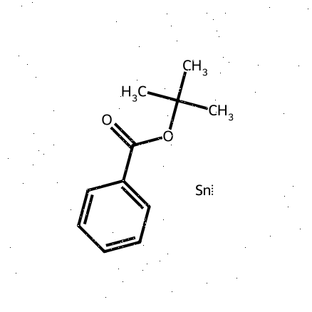 CC(C)(C)OC(=O)c1ccccc1.[Sn]